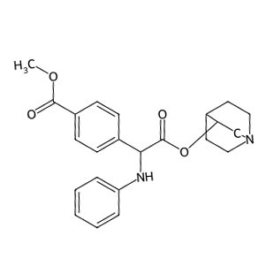 COC(=O)c1ccc(C(Nc2ccccc2)C(=O)OC2CN3CCC2CC3)cc1